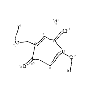 COC1=CC(=O)C(OC)=CC1=O.[H+]